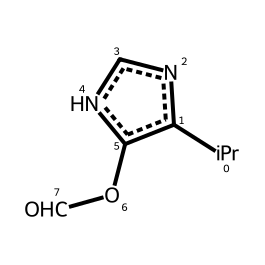 CC(C)c1nc[nH]c1OC=O